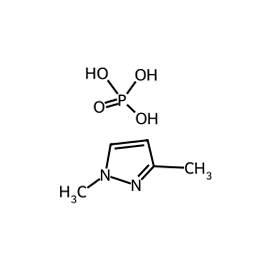 Cc1ccn(C)n1.O=P(O)(O)O